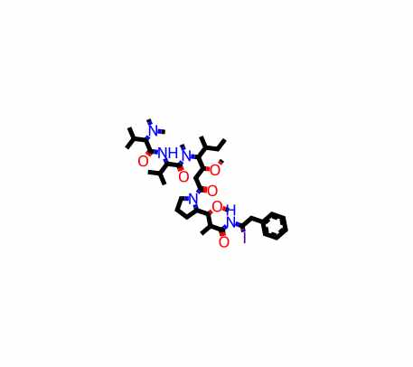 CCC(C)C(C(CC(=O)N1CCCC1C(OC)C(C)C(=O)NC(I)Cc1ccccc1)OC)N(C)C(=O)C(NC(=O)C(C(C)C)N(C)C)C(C)C